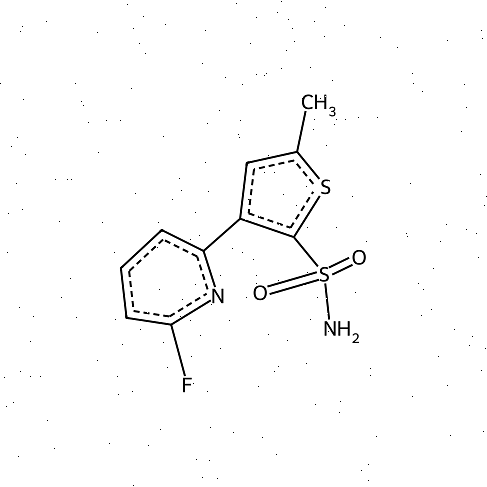 Cc1cc(-c2cccc(F)n2)c(S(N)(=O)=O)s1